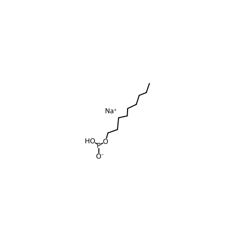 CCCCCCCCCOP([O-])O.[Na+]